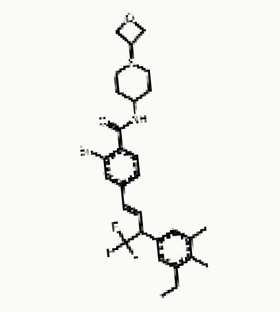 CCc1cc(C(/C=C/c2ccc(C(=O)NC3CCN(C4COC4)CC3)c(Br)c2)C(F)(F)F)cc(C)c1C